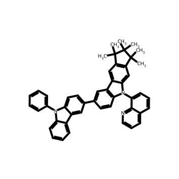 CC1(C)c2cc3c4cc(-c5ccc6c(c5)c5ccccc5n6-c5ccccc5)ccc4n(-c4cccc5cccnc45)c3cc2C(C)(C)C1(C)C